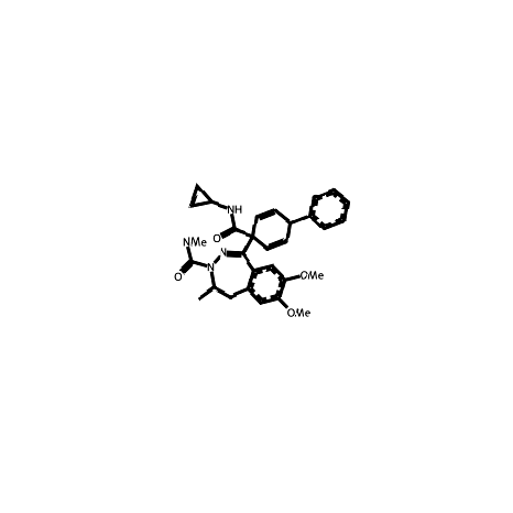 CNC(=O)N1N=C(C2(C(=O)NC3CC3)C=CC(c3ccccc3)C=C2)c2cc(OC)c(OC)cc2CC1C